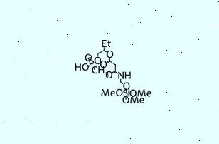 CCC(COP(C)(=O)O)OC(=O)CC(=O)NCO[Si](OC)(OC)OC